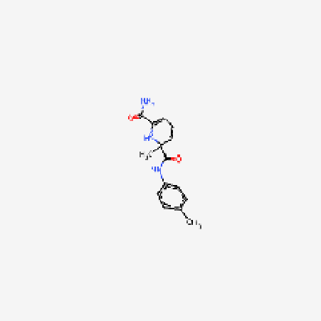 Cc1ccc(NC(=O)C2(C)C=CC=C(C(N)=O)N2)cc1